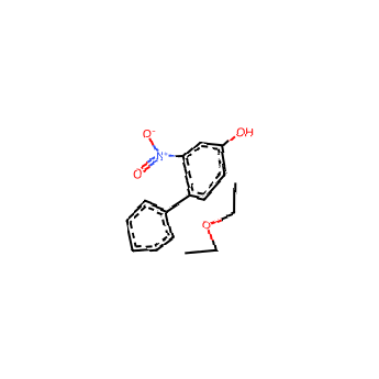 CCOCC.O=[N+]([O-])c1cc(O)ccc1-c1ccccc1